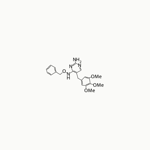 COc1cc(Cc2cnc(N)nc2NOCc2ccccc2)cc(OC)c1OC